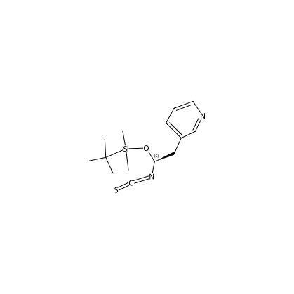 CC(C)(C)[Si](C)(C)O[C@@H](Cc1cccnc1)N=C=S